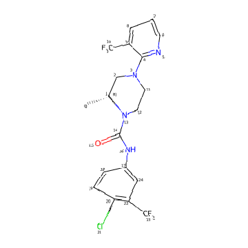 C[C@@H]1CN(c2ncccc2C(F)(F)F)CCN1C(=O)Nc1ccc(Cl)c(C(F)(F)F)c1